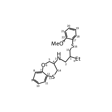 CCC(CNC1COc2ccccc2SC1)CSc1ccccc1OC